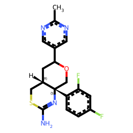 Cc1ncc(C2C[C@H]3CSC(N)=N[C@@]3(c3ccc(F)cc3F)CO2)cn1